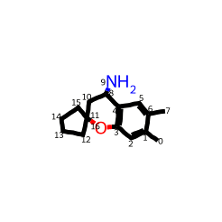 Cc1cc2c(cc1C)C(N)CC1(CCCC1)O2